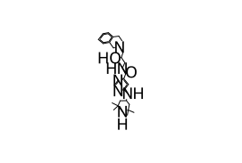 CC1(C)CC(Nc2cc(C(=O)NC[C@H](O)CN3CCc4ccccc4C3)ncn2)CC(C)(C)N1